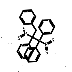 S=P(=S)C(Cc1ccccc1)(c1ccccc1)C(c1ccccc1)(c1ccccc1)P(=S)=S